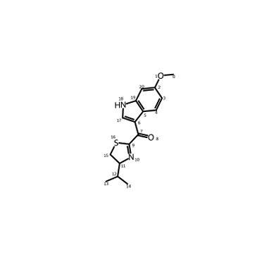 COc1ccc2c(C(=O)C3=NC(C(C)C)CS3)c[nH]c2c1